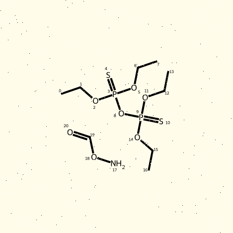 CCOP(=S)(OCC)OP(=S)(OCC)OCC.NOC=O